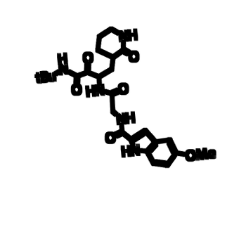 COc1ccc2[nH]c(C(=O)NCC(=O)NC(CC3CCCNC3=O)C(=O)C(=O)NC(C)(C)C)cc2c1